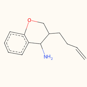 C=CCCC1COc2ccccc2C1N